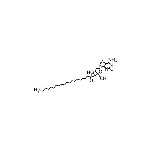 C#C[C@]1(COC(=O)CCCCCCCCCCCCCCCCCCC)O[C@@H](n2cnc3c(N)nc(F)nc32)C[C@H]1O